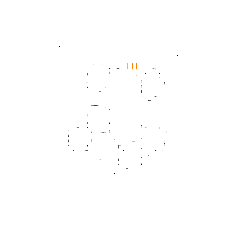 Oc1ccc2ccccc2c1-c1cccc2ccccc12.c1ccc(Pc2ccccc2)cc1